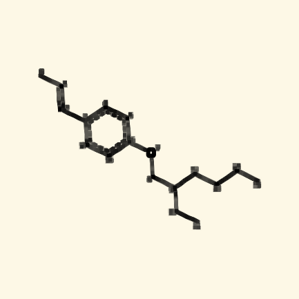 C/C=C/c1ccc(OCC(CC)CCCC)cc1